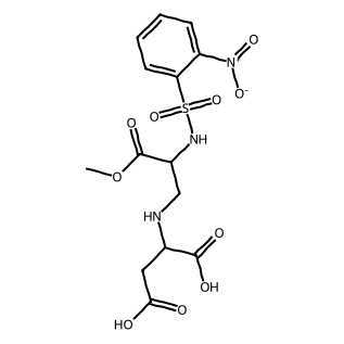 COC(=O)C(CNC(CC(=O)O)C(=O)O)NS(=O)(=O)c1ccccc1[N+](=O)[O-]